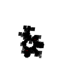 CC(=O)N[C@@H](CCCNC(=N)N)C(=O)N[C@H]1CCC(=O)NCCNC(=O)[C@H](Cc2c[nH]c3ccccc23)NC(=O)[C@H](CCCNC(=N)N)NC(=O)[C@@H](Cc2ccc3ccccc3c2)NC(=O)[C@H](Cc2c[nH]cn2)NC1=O